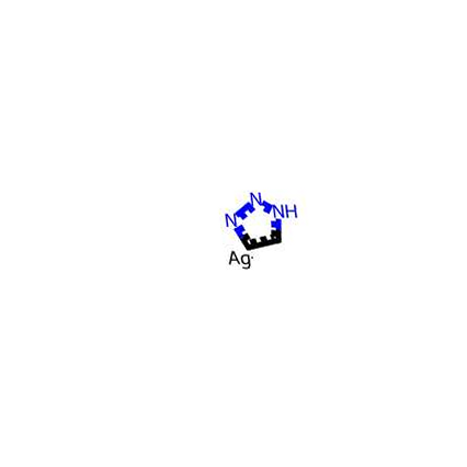 [Ag].c1c[nH]nn1